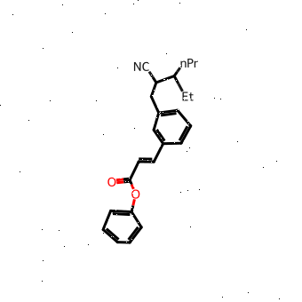 CCCC(CC)C(C#N)Cc1cccc(C=CC(=O)Oc2ccccc2)c1